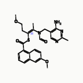 COCC/C(SC(=O)c1cccc2cc(OC)ccc12)=C(\C)N(C=O)Cc1cnc(C)nc1N